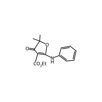 CCOC(=O)C1=C(Nc2ccccc2)OC(C)(C)C1=O